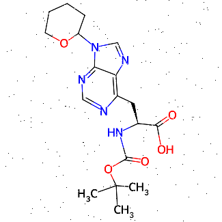 CC(C)(C)OC(=O)N[C@@H](Cc1ncnc2c1ncn2C1CCCCO1)C(=O)O